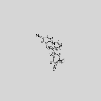 N#Cc1ccc(-n2cncc2C(=O)c2ccc(Cl)c(Cl)c2)cc1